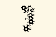 CCc1ccccc1N(CC)C(=O)[C@@H]1OCO[C@H]1C(=O)NC(Cc1ccc(OCc2c(Cl)cccc2Cl)cc1)C(=O)O